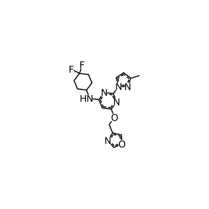 Cc1ccn(-c2nc(NC3CCC(F)(F)CC3)cc(OCc3cocn3)n2)n1